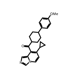 COc1ccc(C2CCC(C(=O)c3c(C4CC4)ccn4cncc34)CC2)cc1